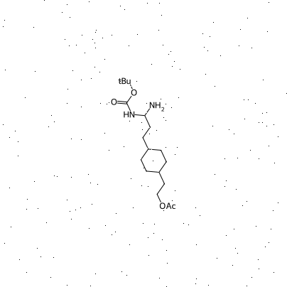 CC(=O)OCCC1CCC(CCC(N)NC(=O)OC(C)(C)C)CC1